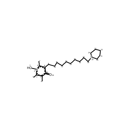 Cc1c(C)n(O)c(C)c(CCCCCCCCCCN2CCCCC2)c1=O